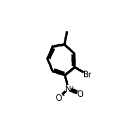 CC1C=CC=C([N+](=O)[O-])C(Br)=C1